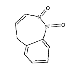 O=[N+]1C=CCc2ccccc2[N+]1=O